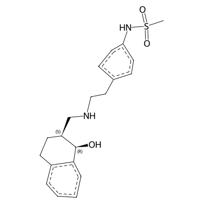 CS(=O)(=O)Nc1ccc(CCNC[C@@H]2CCc3ccccc3[C@@H]2O)cc1